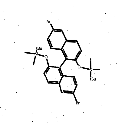 CC(C)(C)[Si](C)(C)Oc1ccc2cc(Br)ccc2c1-c1c(O[Si](C)(C)C(C)(C)C)ccc2cc(Br)ccc12